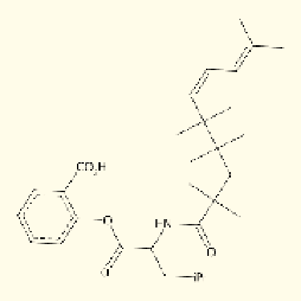 CC(C)=C/C=C\C(C)(C)C(C)(C)CC(C)(C)C(=O)NC(CC(C)C)C(=O)Oc1ccccc1C(=O)O